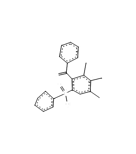 Cc1cc(P(=O)(O)c2ccccc2)c(C(=O)c2ccccc2)c(C)c1C